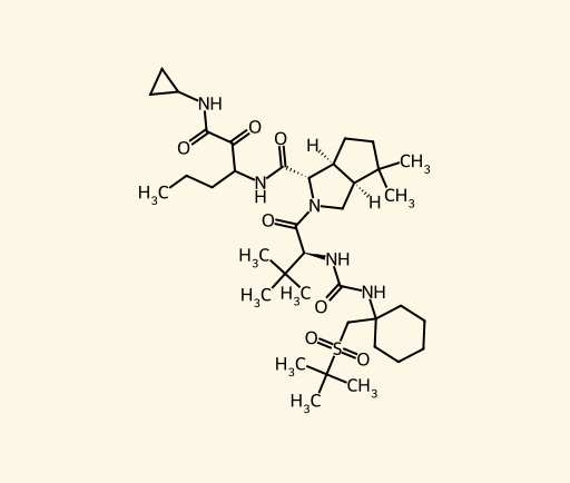 CCCC(NC(=O)[C@@H]1[C@H]2CCC(C)(C)[C@H]2CN1C(=O)[C@@H](NC(=O)NC1(CS(=O)(=O)C(C)(C)C)CCCCC1)C(C)(C)C)C(=O)C(=O)NC1CC1